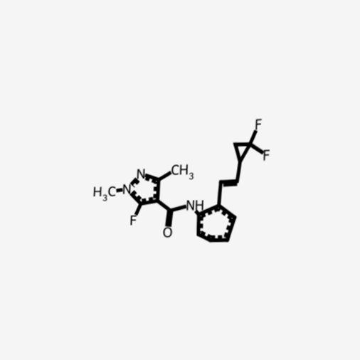 Cc1nn(C)c(F)c1C(=O)Nc1ccccc1/C=C/C1CC1(F)F